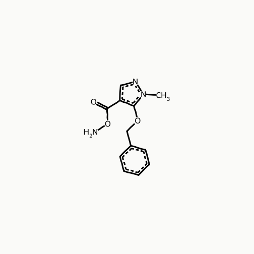 Cn1ncc(C(=O)ON)c1OCc1ccccc1